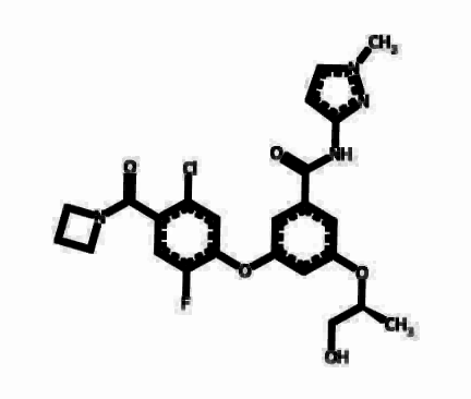 C[C@@H](CO)Oc1cc(Oc2cc(Cl)c(C(=O)N3CCC3)cc2F)cc(C(=O)Nc2ccn(C)n2)c1